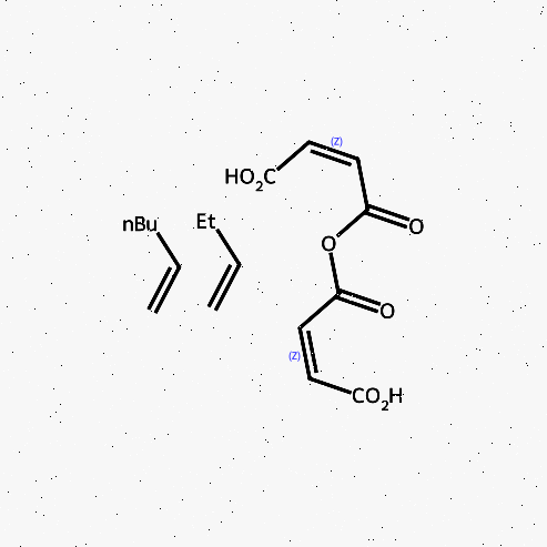 C=CCC.C=CCCCC.O=C(O)/C=C\C(=O)OC(=O)/C=C\C(=O)O